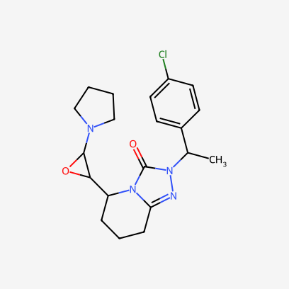 CC(c1ccc(Cl)cc1)n1nc2n(c1=O)C(C1OC1N1CCCC1)CCC2